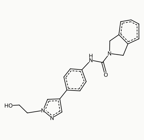 O=C(Nc1ccc(-c2cnn(CCO)c2)cc1)N1Cc2ccccc2C1